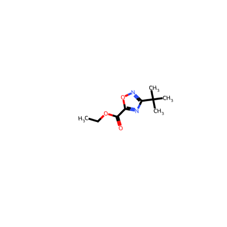 CCOC(=O)c1nc(C(C)(C)C)no1